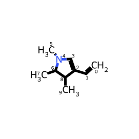 C=CC1=CN(C)C(C)C1C